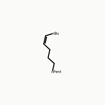 [CH2]CCCCCCC/C=C\CCCC